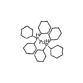 C1CCC([PH]([Pd][PH](C2CCCCC2)(C2CCCCC2)C2CCCCC2)(C2CCCCC2)C2CCCCC2)CC1